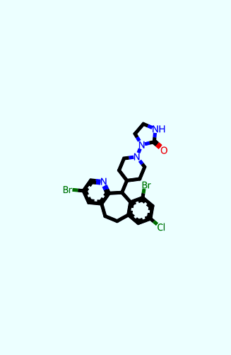 O=C1NCCN1N1CCC(C2c3ncc(Br)cc3CCc3cc(Cl)cc(Br)c32)CC1